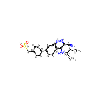 CC[C@@H](C)Nc1c(C#N)nnc2cc(-c3ccc(C[SH](=O)=O)cc3)ccc12